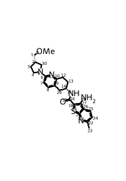 COC[C@H]1CCN(c2ccc3c(n2)CC[C@H](NC(=O)c2sc4nc(C)ccc4c2N)C3)C1